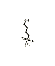 O=S(=O)(CCCCS)C(F)(F)F